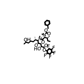 CC[C@H](C)[C@@H](C(=O)N(C)[C@H](C(=O)CC(O)C(=O)Oc1c(F)c(F)c(F)c(F)c1F)[C@@H](C)CCCC(C)O)N(C)C(=O)OCc1ccccc1